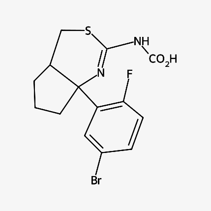 O=C(O)NC1=NC2(c3cc(Br)ccc3F)CCCC2CS1